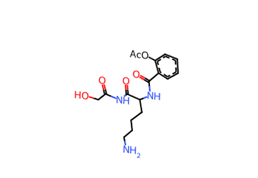 CC(=O)Oc1ccccc1C(=O)NC(CCCCN)C(=O)NC(=O)CO